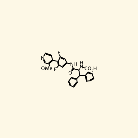 COc1cnccc1-c1c(F)cc(NC(=O)[C@@H](NC(=O)O)C(c2ccccc2)c2ccccc2)cc1F